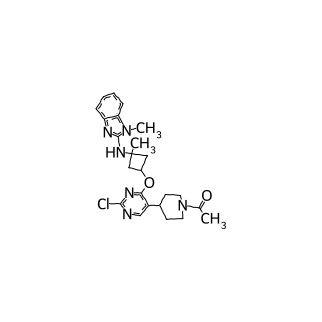 CC(=O)N1CCC(c2cnc(Cl)nc2OC2CC(C)(Nc3nc4ccccc4n3C)C2)CC1